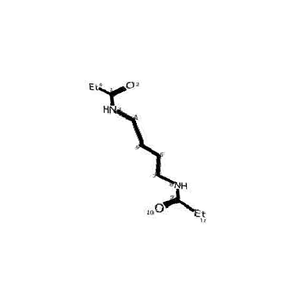 CCC(=O)NCCCCNC(=O)CC